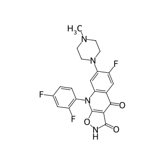 CN1CCN(c2cc3c(cc2F)c(=O)c2c(=O)[nH]oc2n3-c2ccc(F)cc2F)CC1